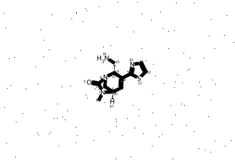 CN1C(=O)N2C[C@H]1C=C(c1nccs1)[C@H]2CN